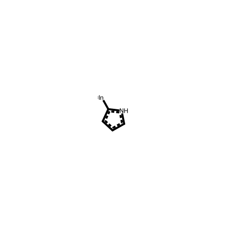 [In][c]1ccc[nH]1